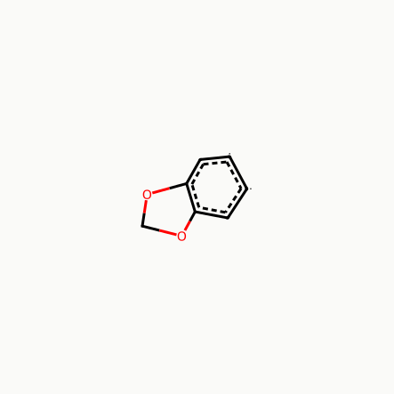 [c]1[c]cc2c(c1)OCO2